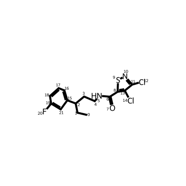 CCC(CCNC(=O)c1snc(Cl)c1Cl)c1cccc(F)c1